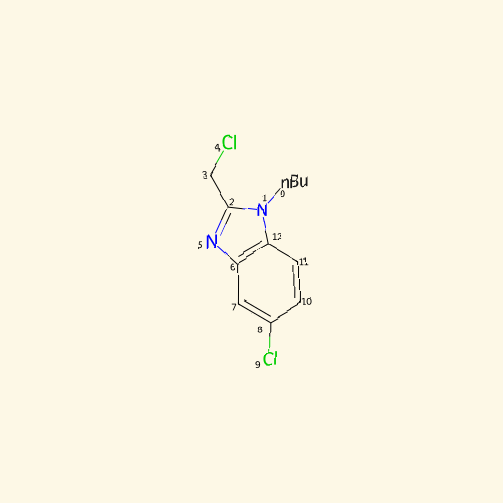 CCCCn1c(CCl)nc2cc(Cl)ccc21